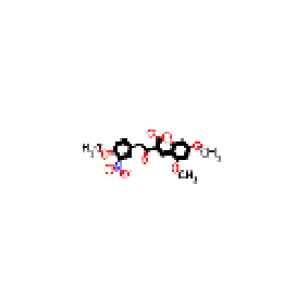 COc1cc(OC)c2cc(C(=O)Cc3ccc(OC)c([N+](=O)[O-])c3)c(=O)oc2c1